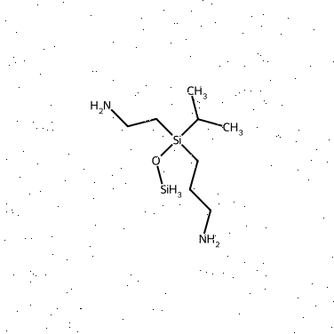 CC(C)[Si](CCN)(CCCN)O[SiH3]